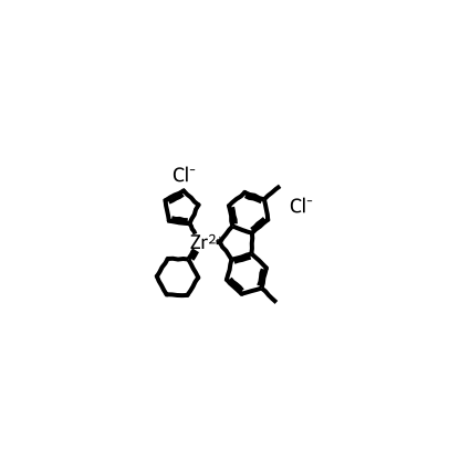 Cc1ccc2c(c1)-c1cc(C)ccc1[CH]2[Zr+2]([C]1=CC=CC1)=[C]1CCCCC1.[Cl-].[Cl-]